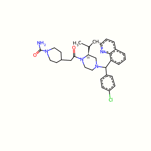 CC(C)[C@H]1CN(C(c2ccc(Cl)cc2)c2cccc3cccnc23)CCN1C(=O)CC1CCN(C(N)=O)CC1